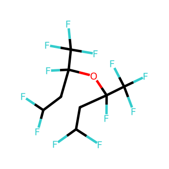 FC(F)CC(F)(OC(F)(CC(F)F)C(F)(F)F)C(F)(F)F